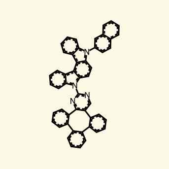 c1ccc2c(c1)-c1ccccc1-c1cnc(-n3c4ccccc4c4c5c6ccccc6n(-c6ccc7ccccc7c6)c5ccc43)nc1-c1ccccc1-2